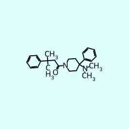 CN(C)C1(c2ccccc2)CCN(C(=O)CC(C)(C)c2ccccc2)CC1